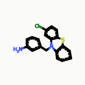 Nc1cccc(CN2c3ccccc3Sc3ccc(Cl)cc32)c1